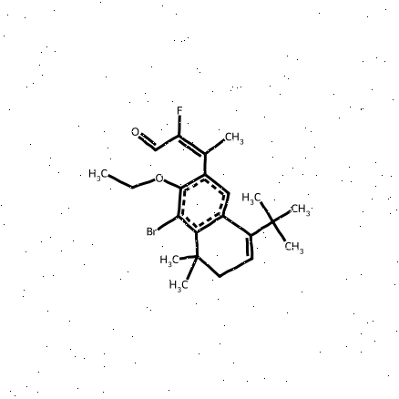 CCOc1c(/C(C)=C(/F)C=O)cc2c(c1Br)C(C)(C)CC=C2C(C)(C)C